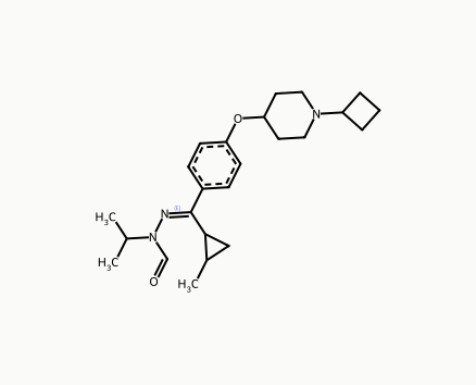 CC1CC1/C(=N\N(C=O)C(C)C)c1ccc(OC2CCN(C3CCC3)CC2)cc1